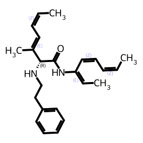 C\C=C/C=C\C(=C/C)NC(=O)[C@H](NCCc1ccccc1)/C(C)=C/C=C\C